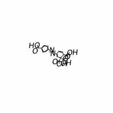 O=C(O)c1ccc(N=NC2=CC(C(=O)O)(C(=O)O)C(C(=O)O)C=C2)cc1